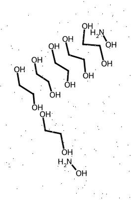 NO.NO.OCCO.OCCO.OCCO.OCCO.OCCO.OCCO